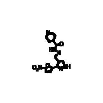 O=C(N/N=C/c1c[nH]nc1-c1ccc([N+](=O)[O-])o1)c1ccncc1